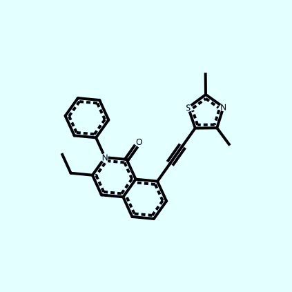 CCc1cc2cccc(C#Cc3sc(C)nc3C)c2c(=O)n1-c1ccccc1